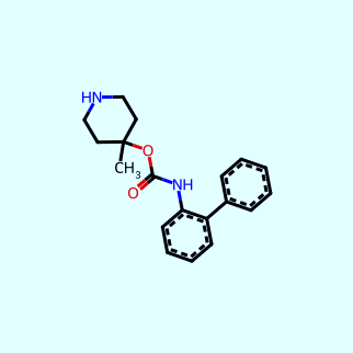 CC1(OC(=O)Nc2ccccc2-c2ccccc2)CCNCC1